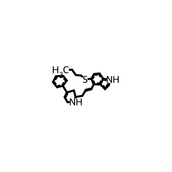 CCCCSc1ccc2[nH]ccc2c1C=CCC1CC(c2ccccc2)=CCN1